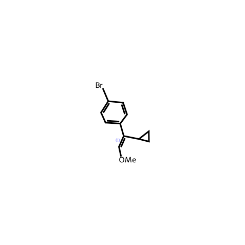 CO/C=C(/c1ccc(Br)cc1)C1CC1